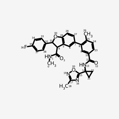 CNC(=O)C1c2cc(-c3cc(C(=O)NC4(c5nc(C)no5)CC4)ccc3C)ccc2OC1c1ccc(F)cc1